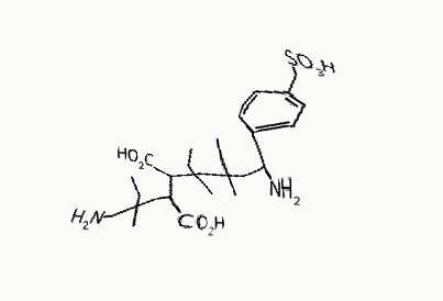 CC(C)(N)C(C(=O)O)C(C(=O)O)C(C)(C)C(C)(C)C(N)c1ccc(S(=O)(=O)O)cc1